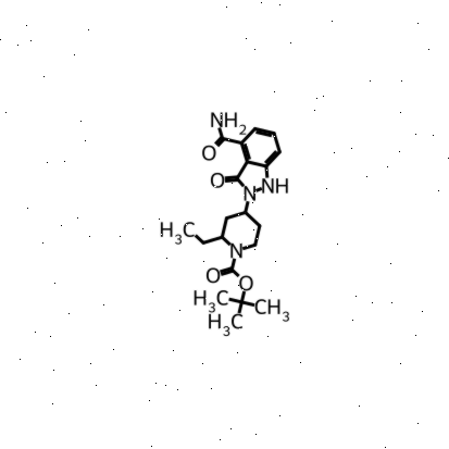 CCC1CC(n2[nH]c3cccc(C(N)=O)c3c2=O)CCN1C(=O)OC(C)(C)C